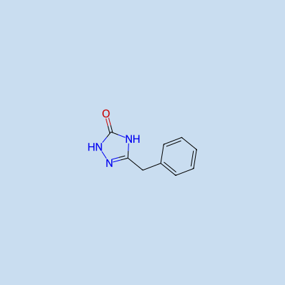 O=c1[nH]nc(Cc2ccccc2)[nH]1